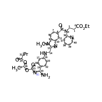 CCOC(=O)CCN(C(=O)c1ccc2c(c1)nc(CNc1ccc(/C(N)=N\C(=O)OC(C)OC(=O)C(C)C)cc1)n2C)c1ccccn1